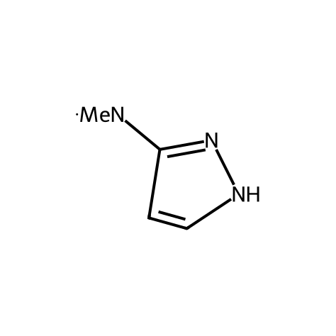 C[N]c1cc[nH]n1